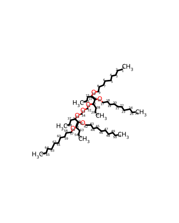 CCCCCCCCCCOC(CCC)=C(OCCCCCCCCCC)C(CCC)OCOCOC(CCC)C(OCCCCCCCCCC)=C(CCC)OCCCCCCCCCC